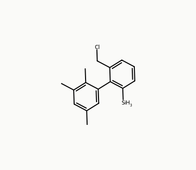 Cc1cc(C)c(C)c(-c2c([SiH3])cccc2CCl)c1